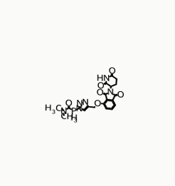 CN(C)C(=O)Pn1cc(COc2cccc3c2C(=O)N(C2CCC(=O)NC2=O)C3=O)nn1